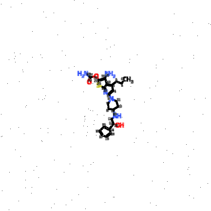 CCCc1cc(N2CCC(NC[C@H](O)c3ccccc3)CC2)nc2sc(OC(N)=O)c(N)c12